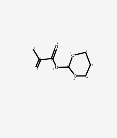 C=C(C)C(=O)OC1OCCCO1